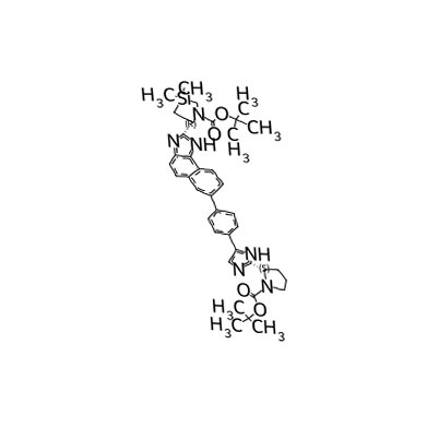 CC(C)(C)OC(=O)N1CCC[C@H]1c1ncc(-c2ccc(-c3ccc4c(ccc5nc([C@@H]6C[Si](C)(C)CN6C(=O)OC(C)(C)C)[nH]c54)c3)cc2)[nH]1